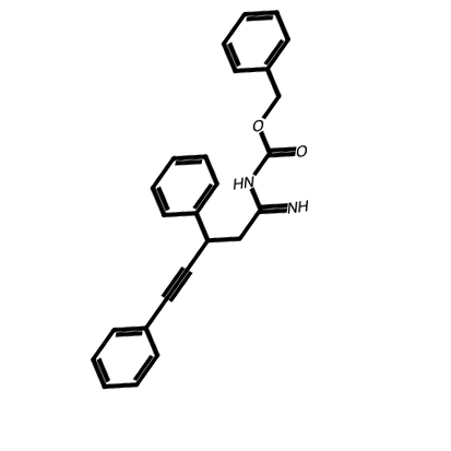 N=C(CC(C#Cc1ccccc1)c1ccccc1)NC(=O)OCc1ccccc1